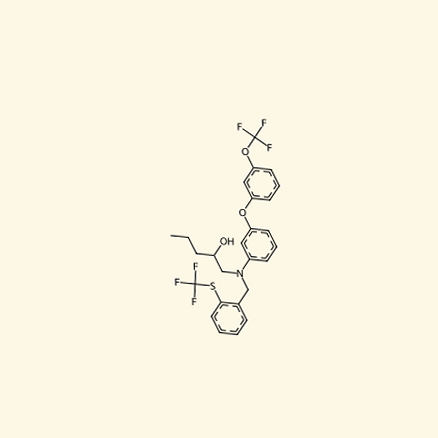 CCCC(O)CN(Cc1ccccc1SC(F)(F)F)c1cccc(Oc2cccc(OC(F)(F)F)c2)c1